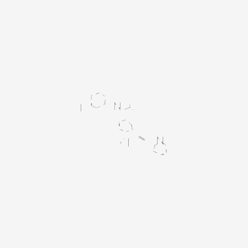 O=C(c1ccc(Cl)c(C#Cc2ccccn2)c1)N1CCc2ccc(F)cc2C1